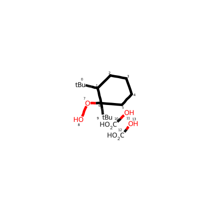 CC(C)(C)C1CCCCC1(OO)C(C)(C)C.O=C(O)O.O=C(O)O